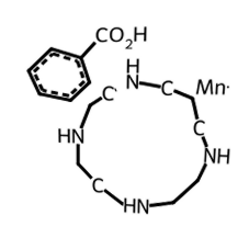 C1CNCCNCCCNCCNC1.O=C(O)c1ccccc1.[Mn]